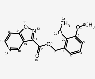 COc1cccc(COC(=O)c2noc3ccncc23)c1OC